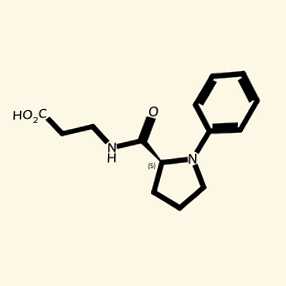 O=C(O)CCNC(=O)[C@@H]1CCCN1c1ccccc1